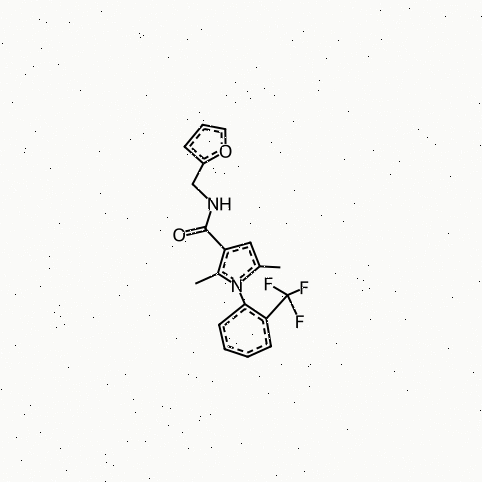 Cc1cc(C(=O)NCc2ccco2)c(C)n1-c1ccccc1C(F)(F)F